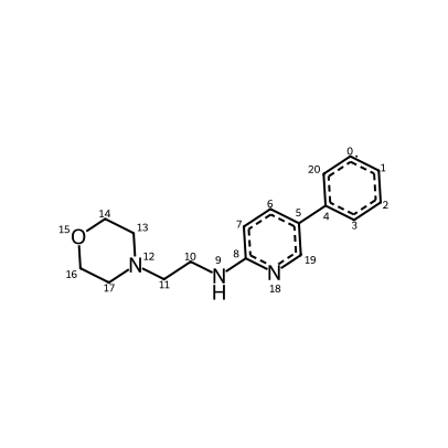 [c]1cccc(-c2ccc(NCCN3CCOCC3)nc2)c1